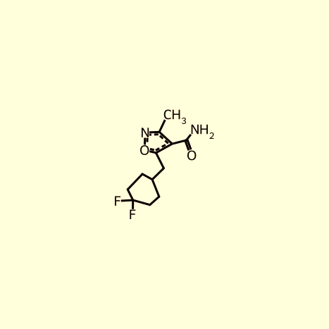 Cc1noc(CC2CCC(F)(F)CC2)c1C(N)=O